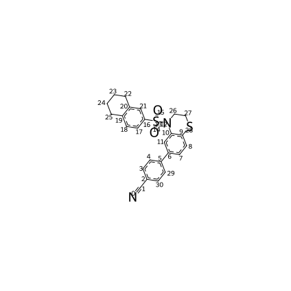 N#Cc1ccc(-c2ccc3c(c2)N(S(=O)(=O)c2ccc4c(c2)CCCC4)CCS3)cc1